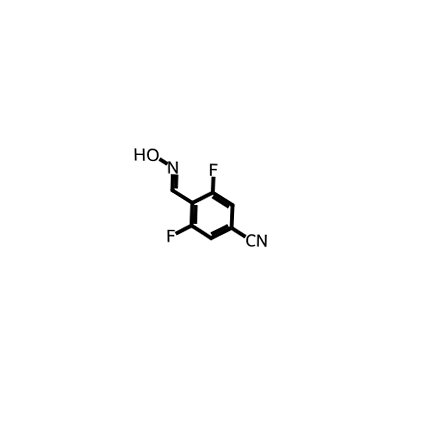 N#Cc1cc(F)c(/C=N/O)c(F)c1